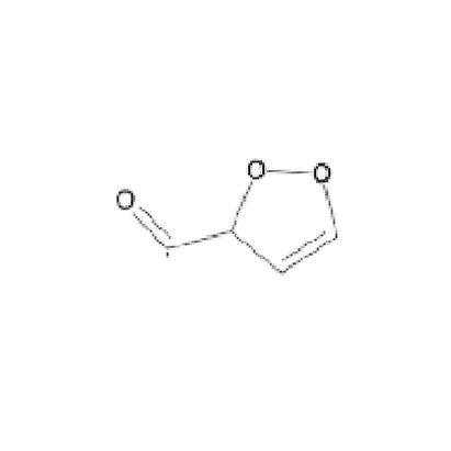 O=[C]C1C=COO1